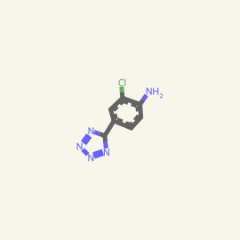 Nc1ccc(C2N=NN=N2)cc1Cl